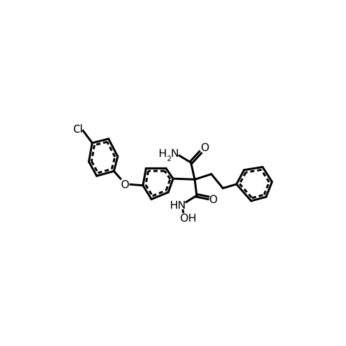 NC(=O)C(CCc1ccccc1)(C(=O)NO)c1ccc(Oc2ccc(Cl)cc2)cc1